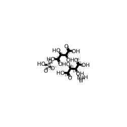 O=C(O)C(O)C(O)C(=O)O.O=C(O)C(O)C(O)C(=O)O.O=S(=O)([O-])O.[H+].[NaH]